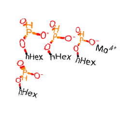 CCCCCCO[PH](=O)[O-].CCCCCCO[PH](=O)[O-].CCCCCCO[PH](=O)[O-].CCCCCCO[PH](=O)[O-].[Mo+4]